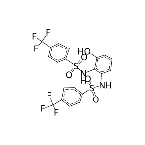 O=S(=O)(Nc1cccc(O)c1NS(=O)(=O)c1ccc(C(F)(F)F)cc1)c1ccc(C(F)(F)F)cc1